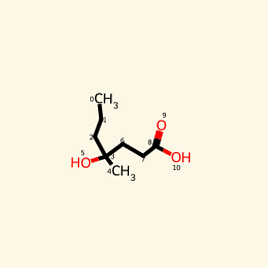 CCCC(C)(O)CCC(=O)O